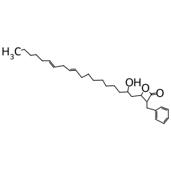 CCCCCC=CCC=CCCCCCCCC(O)CC1OC(=O)C1Cc1ccccc1